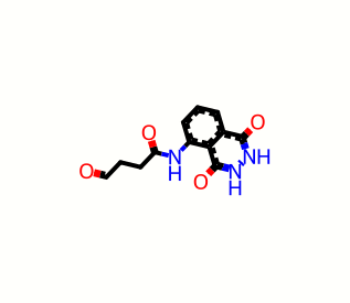 O=CCCC(=O)Nc1cccc2c(=O)[nH][nH]c(=O)c12